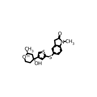 C[C@H]1C[C@@](O)(c2csc(Sc3ccc4c(c3)CC(=O)N4C)c2)CCO1